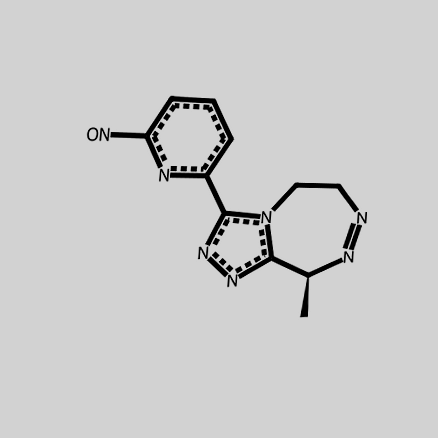 C[C@@H]1N=NCCn2c(-c3cccc(N=O)n3)nnc21